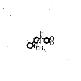 Cn1c2c(c3ccc(Nc4ccc5c(c4)OCO5)nc31)CCCC2